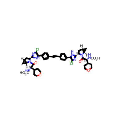 O=C(O)N[C@H](C(=O)N1[C@@H]2C[C@@H]2C[C@H]1c1nc(Cl)c(-c2ccc(C#Cc3ccc(-c4[nH]c([C@@H]5C[C@H]6C[C@H]6N5C(=O)[C@@H](NC(=O)O)C5CCOCC5)nc4Cl)cc3)cc2)[nH]1)C1CCOCC1